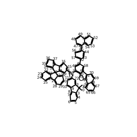 CC1(C)c2ccccc2-c2ccc(N(c3ccc4c(c3)C3(c5ccccc5-c5ccccc53)c3ccccc3-4)c3cc(-c4ccc(-c5cccc6ccccc56)cc4)cc4c3oc3c5ccccc5ccc43)cc21